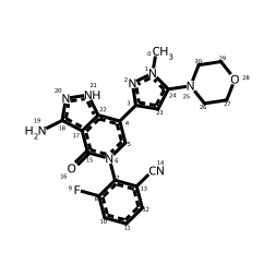 Cn1nc(-c2cn(-c3c(F)cccc3C#N)c(=O)c3c(N)n[nH]c23)cc1N1CCOCC1